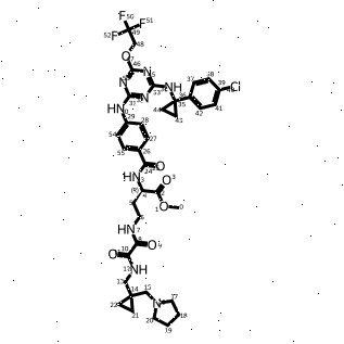 COC(=O)[C@@H](CCNC(=O)C(=O)NCC1(CN2CCCC2)CC1)NC(=O)c1ccc(Nc2nc(NC3(c4ccc(Cl)cc4)CC3)nc(OCC(F)(F)F)n2)cc1